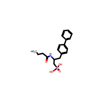 O=C(O)CCC(=O)NC(Cc1ccc(-c2ccccc2)cc1)CP(=O)(O)O